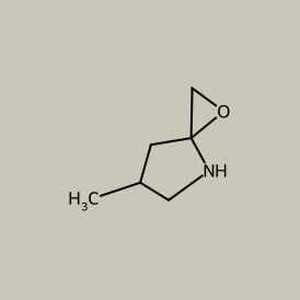 CC1CNC2(CO2)C1